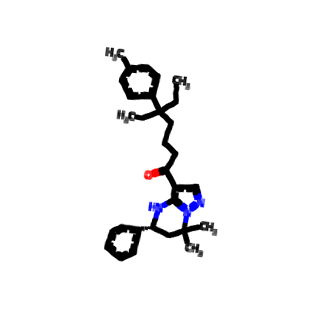 CCC(CC)(CCCC(=O)c1cnn2c1N[C@@H](c1ccccc1)CC2(C)C)c1ccc(C)cc1